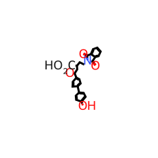 O=C(CC(CCN1C(=O)c2ccccc2C1=O)C(=O)O)c1ccc(-c2ccc(O)cc2)cc1